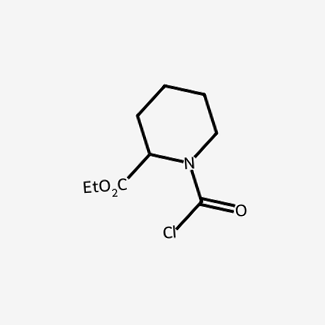 CCOC(=O)C1CCCCN1C(=O)Cl